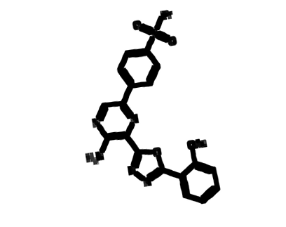 CC(=O)Oc1ccccc1-c1nnc(-c2nc(-c3ccc(S(=O)(=O)C(C)C)cc3)cnc2N)o1